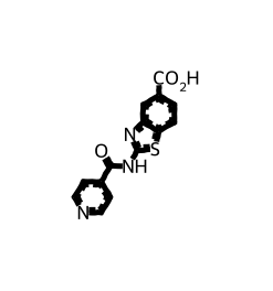 O=C(O)c1ccc2sc(NC(=O)c3ccncc3)nc2c1